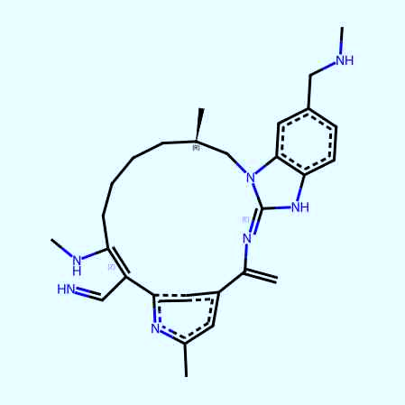 C=C1/N=C2\Nc3ccc(CNC)cc3N2C[C@H](C)CCCC/C(NC)=C(/C=N)c2cc1cc(C)n2